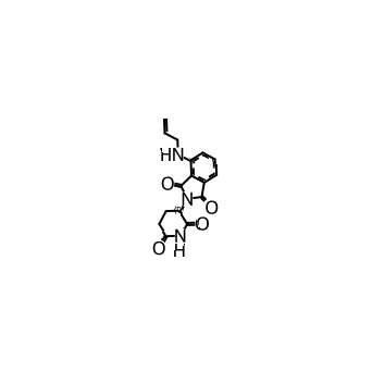 C=CCNc1cccc2c1C(=O)N([C@@H]1CCC(=O)NC1=O)C2=O